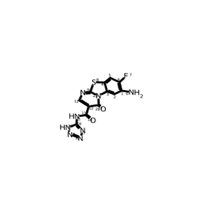 Nc1cc2c(cc1F)sc1ncc(C(=O)Nc3nnn[nH]3)c(=O)n12